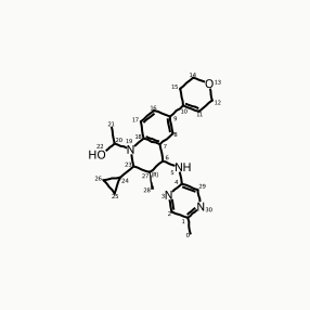 Cc1cnc(NC2c3cc(C4=CCOCC4)ccc3N(C(C)O)C(C3CC3)[C@@H]2C)cn1